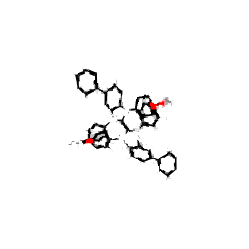 CC(C)c1ccc(N2/C(=C3/N(c4ccc(C(C)C)cc4)c4ccc(-c5ccccc5)cc4N3c3ccc(C(C)C)cc3)N(c3ccc(C(C)C)cc3)c3cc(-c4ccccc4)ccc32)cc1